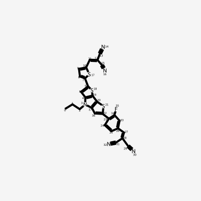 CCCn1c2cc(-c3ccc(C=C(C#N)C#N)s3)sc2c2sc(-c3ccc(C=C(C#N)C#N)cc3F)cc21